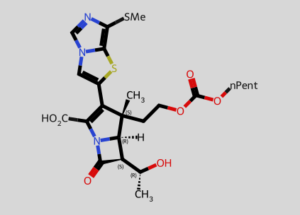 CCCCCOC(=O)OCC[C@@]1(C)C(c2cn3cnc(SC)c3s2)=C(C(=O)O)N2C(=O)[C@H]([C@@H](C)O)[C@@H]21